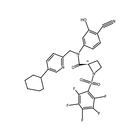 N#Cc1ccc(N(Cc2ccc(C3CCCCC3)cn2)C(=O)[C@H]2CCN2S(=O)(=O)c2c(F)c(F)c(F)c(F)c2F)cc1O